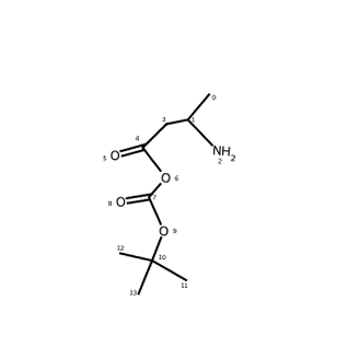 CC(N)CC(=O)OC(=O)OC(C)(C)C